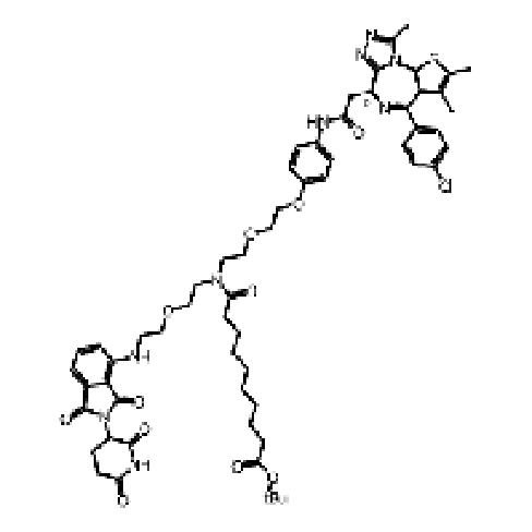 CC1=C(C)C2C(c3ccc(Cl)cc3)=N[C@@H](CC(=O)Nc3ccc(OCCOCCN(CCOCCNc4cccc5c4C(=O)N(C4CCC(=O)NC4=O)C5=O)C(=O)CCCCCCCCC(=O)OC(C)(C)C)cc3)c3nnc(C)n3C2S1